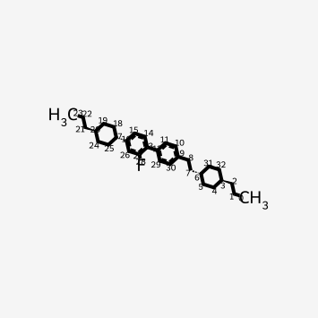 CCC[C@H]1CC[C@H](CCc2ccc(-c3ccc([C@H]4CC[C@H](CCC)CC4)cc3F)cc2)CC1